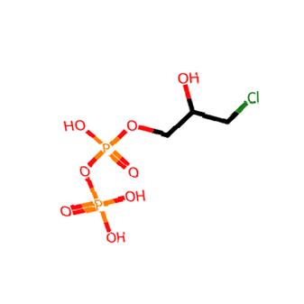 O=P(O)(O)OP(=O)(O)OCC(O)CCl